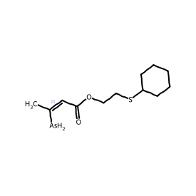 C/C([AsH2])=C/C(=O)OCCSC1CCCCC1